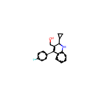 OCC1=C(c2ccc(F)cc2)c2ccccc2NC1C1CC1